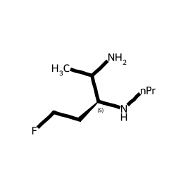 CCCN[C@@H](CCF)C(C)N